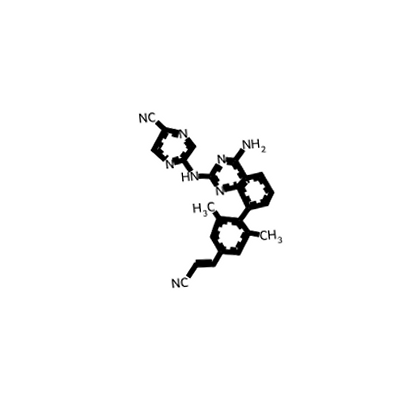 Cc1cc(C=CC#N)cc(C)c1-c1cccc2c(N)nc(Nc3cnc(C#N)cn3)nc12